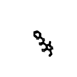 CCn1nc(C)c(C(=O)Oc2ccccn2)c1Cl